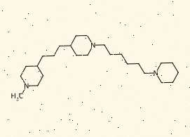 CN1CCC(CCCC2CCN(CCCCCCN3CCCCC3)CC2)CC1